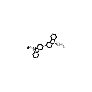 CC(C)n1c2ccccc2c2cc(-c3ccc4c(c3)c3ccccc3n4C)ccc21